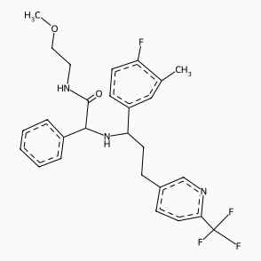 COCCNC(=O)C(NC(CCc1ccc(C(F)(F)F)nc1)c1ccc(F)c(C)c1)c1ccccc1